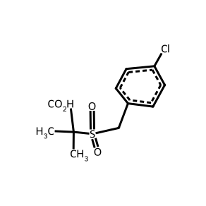 CC(C)(C(=O)O)S(=O)(=O)Cc1ccc(Cl)cc1